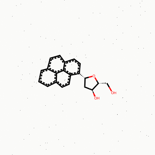 OC[C@H]1O[C@@H](c2ccc3ccc4cccc5ccc2c3c45)C[C@@H]1O